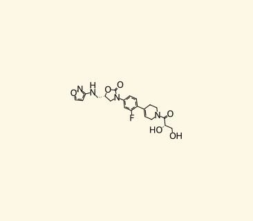 O=C([C@@H](O)CO)N1CC=C(c2ccc(N3C[C@H](CNc4ccon4)OC3=O)cc2F)CC1